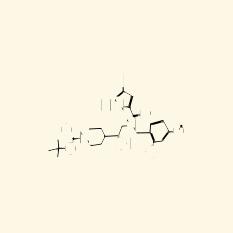 COc1ccc(CN(CC(O)C2CCN(C(=O)OC(C)(C)C)CC2)C(=O)c2cc(I)c[nH]2)c(OC)c1